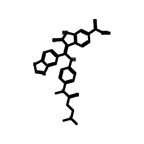 COC(=O)c1ccc2c(c1)NC(=O)C2=C(Nc1ccc(N(C)C(=O)CCN(C)C)cc1)c1ccc2scnc2c1